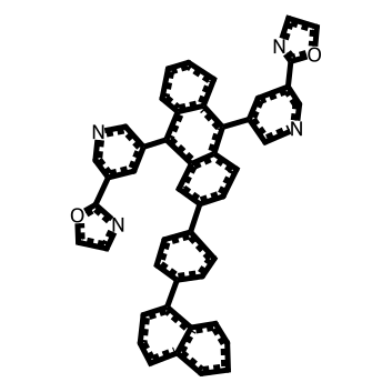 c1ccc2c(-c3ccc(-c4ccc5c(-c6cncc(-c7ncco7)c6)c6ccccc6c(-c6cncc(-c7ncco7)c6)c5c4)cc3)cccc2c1